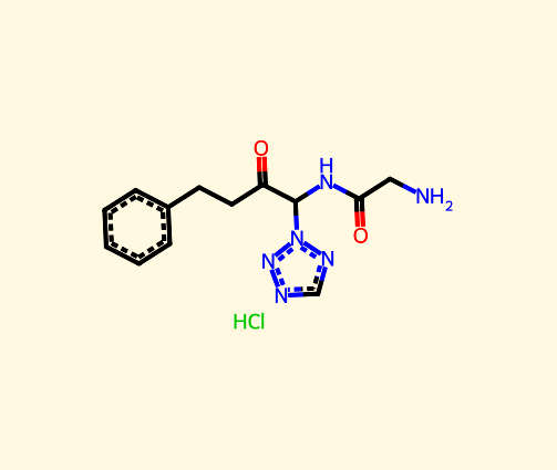 Cl.NCC(=O)NC(C(=O)CCc1ccccc1)n1ncnn1